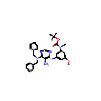 COc1cc(Nc2ncnc(N(Cc3ccccc3)Cc3ccccc3)c2N)cc(N(C)C(=O)OC(C)(C)C)c1